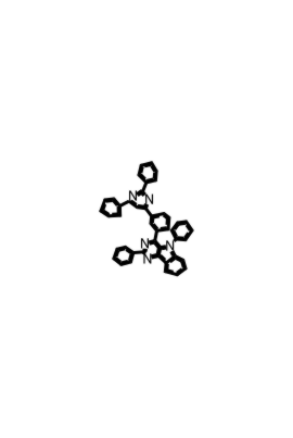 c1ccc(-c2cc(-c3cccc(-c4nc(-c5ccccc5)nc5c6ccccc6n(-c6ccccc6)c45)c3)nc(-c3ccccc3)n2)cc1